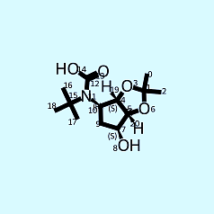 CC1(C)O[C@@H]2[C@H](O1)[C@@H](O)C[C@H]2N(C(=O)O)C(C)(C)C